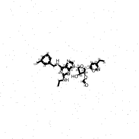 CCNc1nc(NCc2cccc(I)c2)c2ncn([C@@H]3O[C@H](c4cc(CC)no4)[C@@H](OC=O)[C@H]3O)c2n1